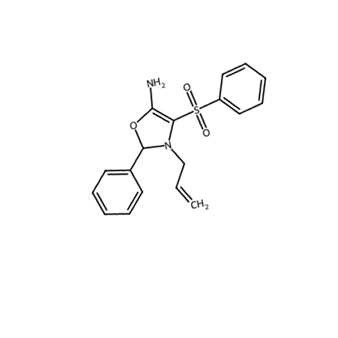 C=CCN1C(S(=O)(=O)c2ccccc2)=C(N)OC1c1ccccc1